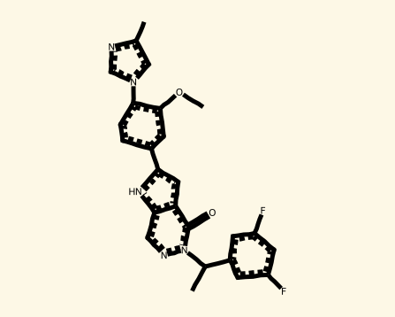 COc1cc(-c2cc3c(=O)n(C(C)c4cc(F)cc(F)c4)ncc3[nH]2)ccc1-n1cnc(C)c1